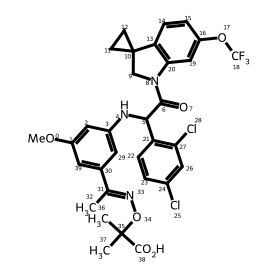 COc1cc(NC(C(=O)N2CC3(CC3)c3ccc(OC(F)(F)F)cc32)c2ccc(Cl)cc2Cl)cc(C(C)=NOC(C)(C)C(=O)O)c1